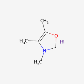 CC1=C(C)N(C)CO1.I